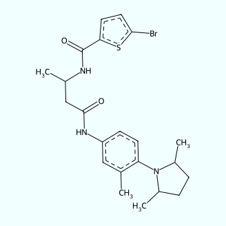 Cc1cc(NC(=O)CC(C)NC(=O)c2ccc(Br)s2)ccc1N1C(C)CCC1C